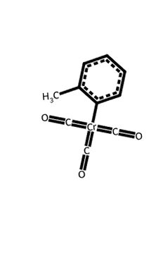 Cc1cccc[c]1[Cr](=[C]=O)(=[C]=O)=[C]=O